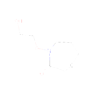 O=C1CCCCCN1OCCO